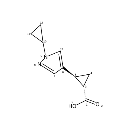 O=C(O)[C@H]1C[C@@H]1c1cnn(C2CC2)c1